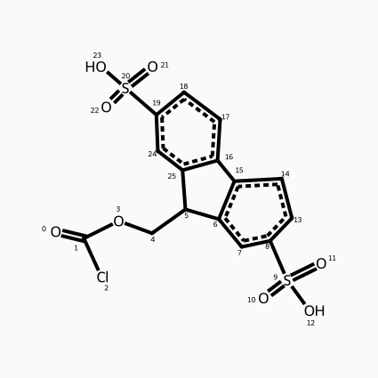 O=C(Cl)OCC1c2cc(S(=O)(=O)O)ccc2-c2ccc(S(=O)(=O)O)cc21